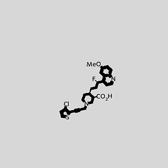 COc1ccc2nccc([C@@H](F)CC[C@@H]3CCN(CC#Cc4sccc4Cl)C[C@@H]3C(=O)O)c2c1